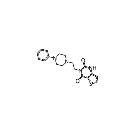 O=c1[nH]c2ccsc2c(=O)n1CCN1CCN(c2ccccc2)CC1